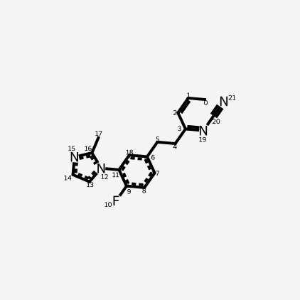 C/C=C\C(CCc1ccc(F)c(-n2ccnc2C)c1)=N/C#N